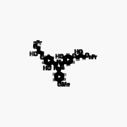 CCCOCC(O)COc1ccc(-c2nc(-c3ccc(OC)cc3)nc(-c3ccc(OCC(O)COCCC)cc3O)n2)c(O)c1